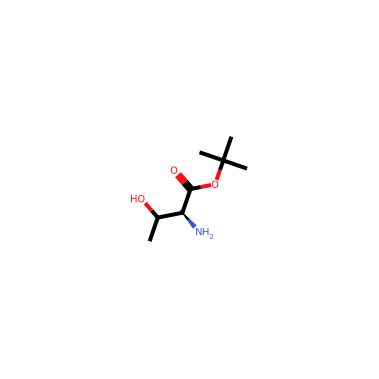 CC(O)[C@H](N)C(=O)OC(C)(C)C